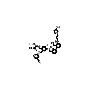 N#Cc1cncc(OCc2cc(OCc3cccc(-c4cccc(NCCCN5CC[C@@H](O)C5)c4C=N)c3Br)c(Cl)cc2CN[C@@H](CO)C(=O)O)c1